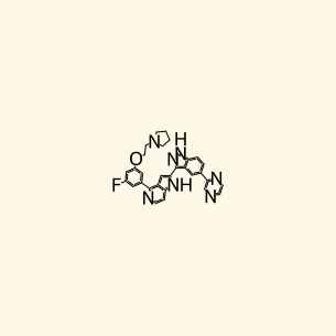 Fc1cc(OCCN2CCCC2)cc(-c2nccc3[nH]c(-c4n[nH]c5ccc(-c6cnccn6)cc45)cc23)c1